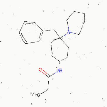 COCC(=O)NC1CCC(Cc2ccccc2)(N2CCCCC2)CC1